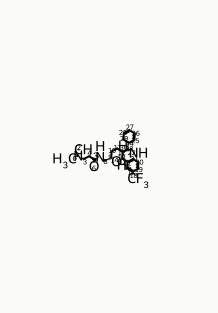 CN(C)CCC(=O)NC[C@H]1CC[C@@H]2[C@H](O1)c1cc(C(F)(F)F)ccc1N[C@H]2C1C=CC=CC1